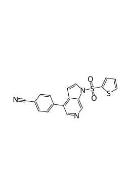 N#Cc1ccc(-c2cncc3c2ccn3S(=O)(=O)c2cccs2)cc1